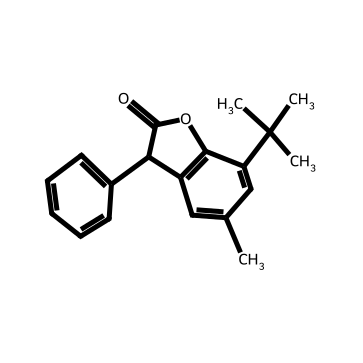 Cc1cc2c(c(C(C)(C)C)c1)OC(=O)C2c1ccccc1